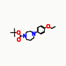 CCOc1ccc(N2CCCN(C(=O)OC(C)(C)C)CC2)cc1